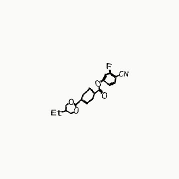 CCC1COC(C2CCC(C(=O)Oc3ccc(C#N)c(F)c3)CC2)OC1